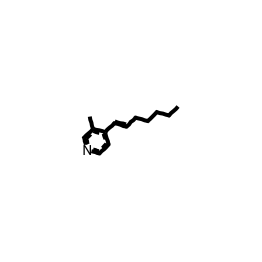 CCCCCC=Cc1ccncc1C